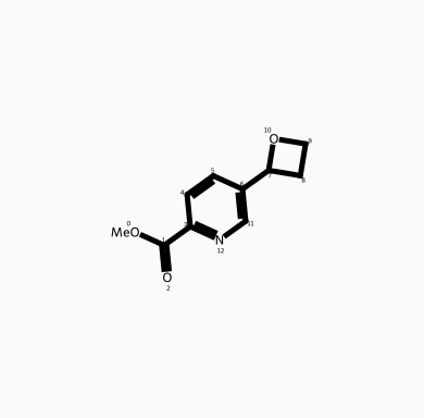 COC(=O)c1ccc(C2CCO2)cn1